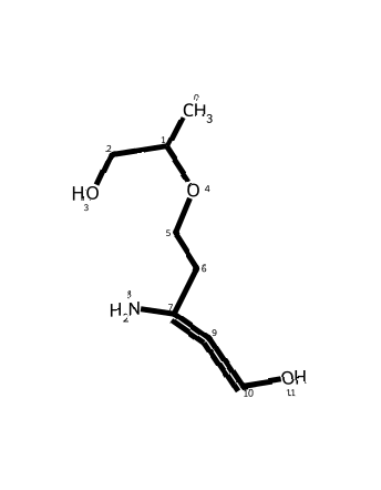 CC(CO)OCCC(N)=C=CO